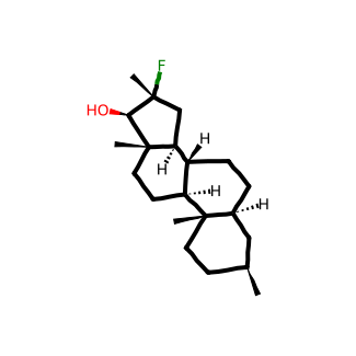 C[C@H]1CC[C@@]2(C)[C@@H](CC[C@@H]3[C@@H]2CC[C@]2(C)[C@@H](O)[C@](C)(F)C[C@@H]32)C1